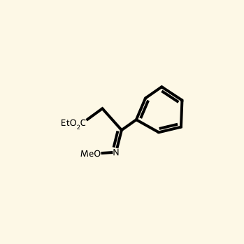 CCOC(=O)CC(=NOC)c1ccccc1